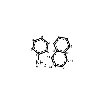 Nc1ccccc1.c1ccc2ncncc2c1